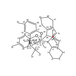 CC1=CC2=C(CCCC2)[CH]1[Zr]([CH3])([CH3])(=[SiH2])([O]c1ccc(C)cc1C(C)(C)C)([O]c1ccc(C)cc1C(C)(C)C)[CH]1C(C)=CC2=C1CCCC2